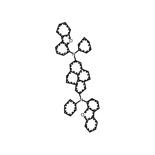 c1ccc(N(c2cc3ccc4cc(N(c5ccccc5)c5cccc6c5oc5ccccc56)cc5ccc(c2)c3c45)c2cccc3c2oc2ccccc23)cc1